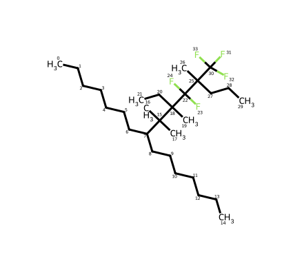 CCCCCCCC(CCCCCCC)C(C)(C)C(C)(CC)C(F)(F)C(C)(CCC)C(F)(F)F